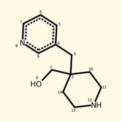 OCC1(Cc2cccnc2)CCNCC1